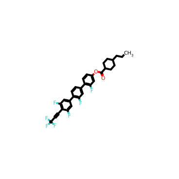 CCCC1CCC(C(=O)Oc2ccc(-c3ccc(-c4cc(F)c(C#CC(F)(F)F)c(F)c4)c(F)c3)c(F)c2)CC1